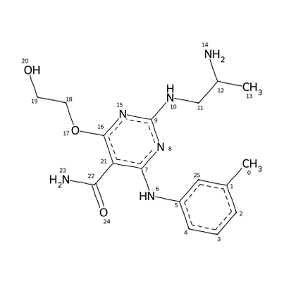 Cc1cccc(Nc2nc(NCC(C)N)nc(OCCO)c2C(N)=O)c1